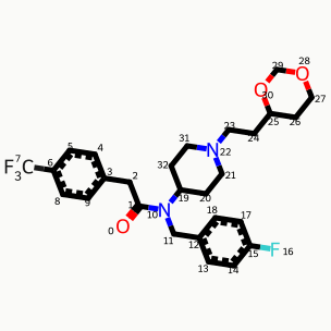 O=C(Cc1ccc(C(F)(F)F)cc1)N(Cc1ccc(F)cc1)C1CCN(CCC2CCOCO2)CC1